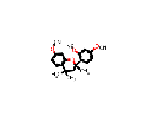 CC1(C)CC(C)(c2ccc(OC#N)cc2OC#N)Oc2cc(OC#N)ccc21